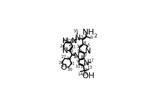 C/C(N)=C(\c1cnc2c3c(cc(C(C)(C)O)n3C)n(C(c3ccccn3)C3CCOCC3)c2c1)N(C)N